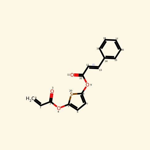 C=CC(=O)Oc1ccc(OC(=O)/C=C/c2ccccc2)s1